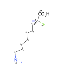 NCCCCCC/C=C(\F)C(=O)O